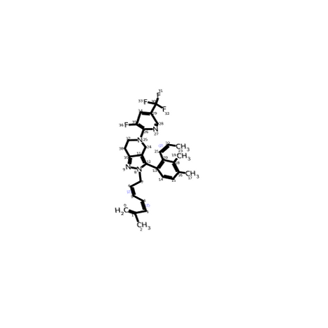 C=C(C)/C=C\C=C/Cn1nc2c(c1-c1ccc(C)c(C)c1/C=C\C)CN(c1ncc(C(F)(F)F)cc1F)CC2